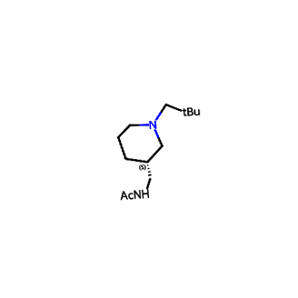 CC(=O)NC[C@@H]1CCCN(CC(C)(C)C)C1